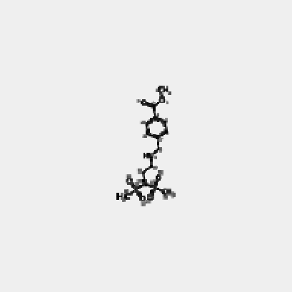 COC(=O)c1ccc(CNCCN(S(C)(=O)=O)S(C)(=O)=O)cc1